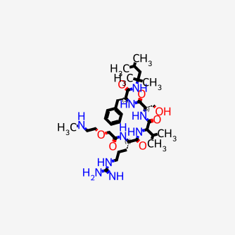 CNCCOCC(=O)N[C@@H](CCCNC(=N)N)C(=O)NC(C(=O)N[C@@H](CO)C(=O)N[C@@H](Cc1ccccc1)C(=O)NC(C)(C)CC(C)C)C(C)C